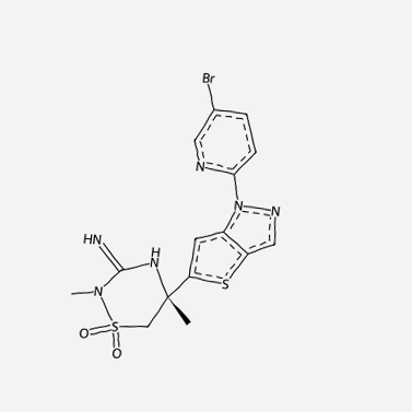 CN1C(=N)N[C@](C)(c2cc3c(cnn3-c3ccc(Br)cn3)s2)CS1(=O)=O